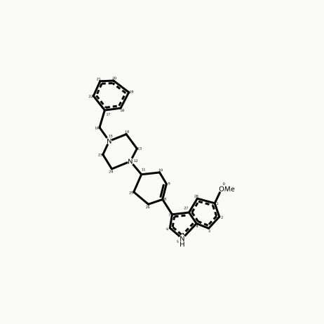 COc1ccc2[nH]cc(C3=CCC(N4CCN(Cc5ccccc5)CC4)CC3)c2c1